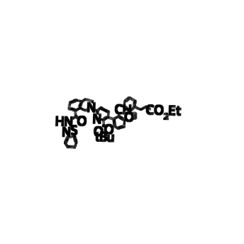 CCOC(=O)CCc1ccccc1Oc1cccc(-c2ccc(N3CCc4cccc(C(=O)Nc5nc6ccccc6s5)c4C3)nc2C(=O)OC(C)(C)C)c1C